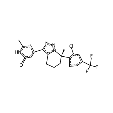 Cc1nc(-c2nnn3c2CCC[C@@]3(C)c2ccc(C(F)(F)F)cc2Cl)cc(=O)[nH]1